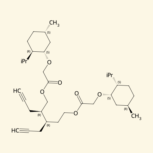 C#CC[C@H](CCOC(=O)CO[C@H]1C[C@H](C)CC[C@H]1C(C)C)[C@@H](CC#C)COC(=O)CO[C@H]1C[C@@H](C)CC[C@@H]1C(C)C